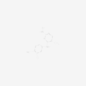 CCNc1ncc(C)c(Nc2ccc(C#N)c(Cl)c2)n1